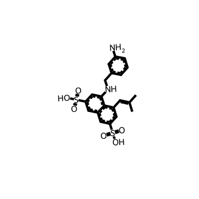 CC(C)=Cc1cc(S(=O)(=O)O)cc2cc(S(=O)(=O)O)cc(NCc3cccc(N)c3)c12